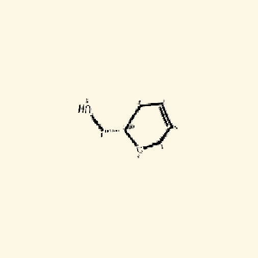 OC[C@@H]1CC=CCO1